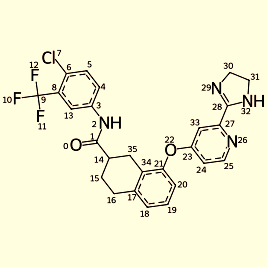 O=C(Nc1ccc(Cl)c(C(F)(F)F)c1)C1CCc2cccc(Oc3ccnc(C4=NCCN4)c3)c2C1